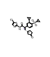 O=C1CC[C@@H](/C=C(/C(=O)Nc2ncc(Cl)s2)c2ccc(S(=O)(=O)C3CC3)c(C3CC3)c2)C1